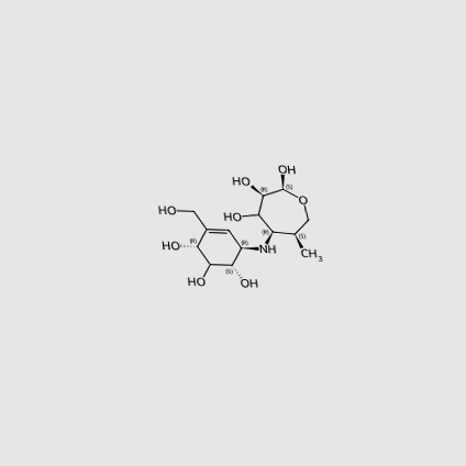 C[C@@H]1CO[C@H](O)[C@H](O)C(O)[C@@H]1N[C@@H]1C=C(CO)[C@@H](O)C(O)[C@H]1O